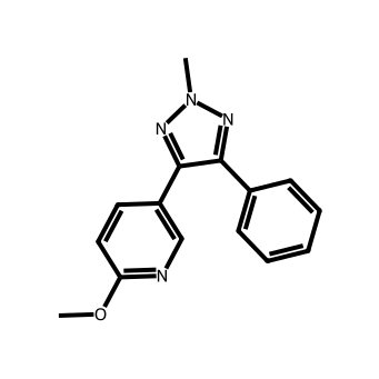 COc1ccc(-c2nn(C)nc2-c2ccccc2)cn1